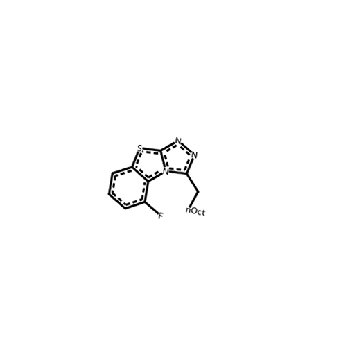 CCCCCCCCCc1nnc2sc3cccc(F)c3n12